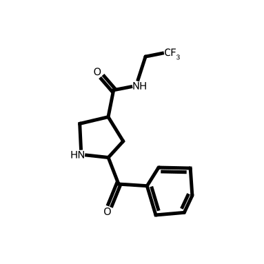 O=C(NCC(F)(F)F)C1CNC(C(=O)c2ccccc2)C1